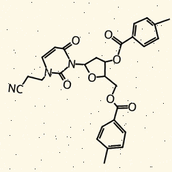 Cc1ccc(C(=O)OCC2OC(n3c(=O)ccn(CCC#N)c3=O)CC2OC(=O)c2ccc(C)cc2)cc1